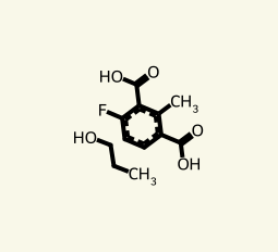 CCCO.Cc1c(C(=O)O)ccc(F)c1C(=O)O